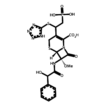 CO[C@@]1(NC(=O)C(O)c2ccccc2)C(=O)N2C(C(=O)O)=C(C(CP(=O)(O)O)Sc3nnn[nH]3)CS[C@H]21